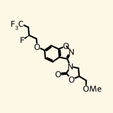 COCC1CN(c2noc3cc(OC[C@@H](F)CC(F)(F)F)ccc23)C(=O)O1